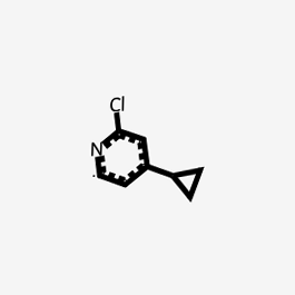 Clc1cc(C2CC2)c[c]n1